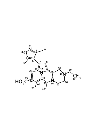 Cc1noc(C)c1-c1ccn2c(C(C)N3CCN(CC(F)(F)F)CC3)c(C)c(C(=O)O)cc12